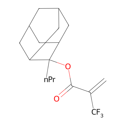 C=C(C(=O)OC1(CCC)C2CC3CC(C2)CC1C3)C(F)(F)F